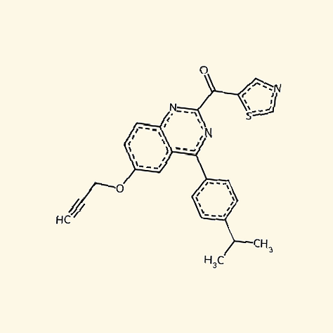 C#CCOc1ccc2nc(C(=O)c3cncs3)nc(-c3ccc(C(C)C)cc3)c2c1